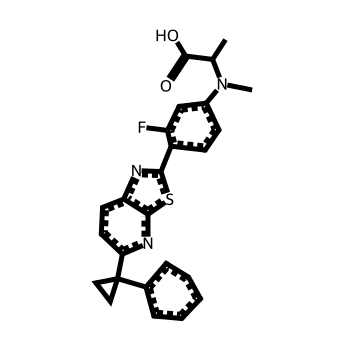 CC(C(=O)O)N(C)c1ccc(-c2nc3ccc(C4(c5ccccc5)CC4)nc3s2)c(F)c1